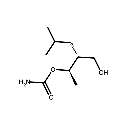 CC(C)C[C@H](CO)[C@@H](C)OC(N)=O